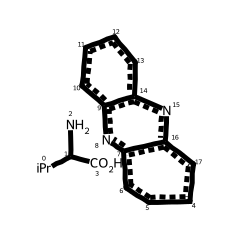 CC(C)C(N)C(=O)O.c1ccc2nc3ccccc3nc2c1